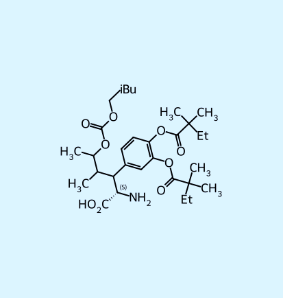 CCC(C)COC(=O)OC(C)C(C)C(c1ccc(OC(=O)C(C)(C)CC)c(OC(=O)C(C)(C)CC)c1)[C@H](N)C(=O)O